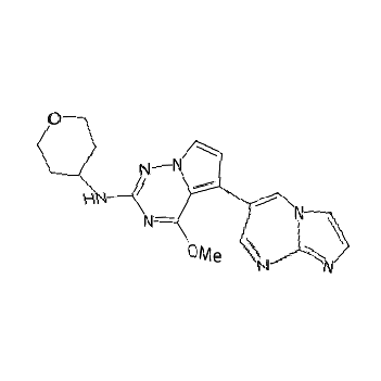 COc1nc(NC2CCOCC2)nn2ccc(-c3cnc4nccn4c3)c12